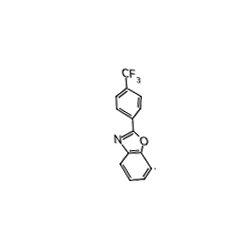 FC(F)(F)c1ccc(-c2nc3ccc[c]c3o2)cc1